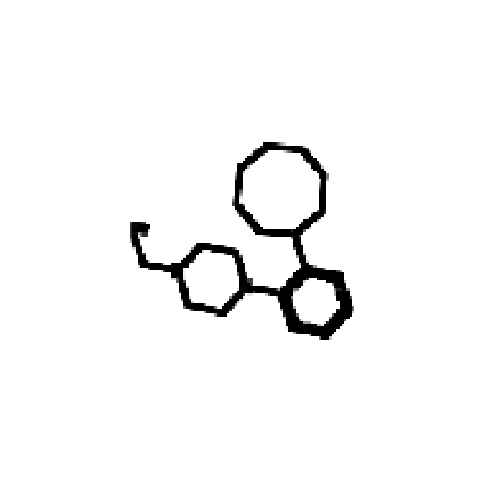 CC(C)CN1CCN(c2ccccc2C2CCCCCCC2)CC1